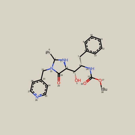 CC(C)C1N[C@@H]([C@@H](O)[C@H](Cc2ccccc2)NC(=O)OC(C)(C)C)C(=O)N1Cc1ccncc1